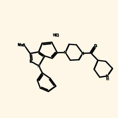 CSc1nn(-c2ccccc2)c2cc(N3CCN(C(=O)C4CCNCC4)CC3)ccc12.Cl